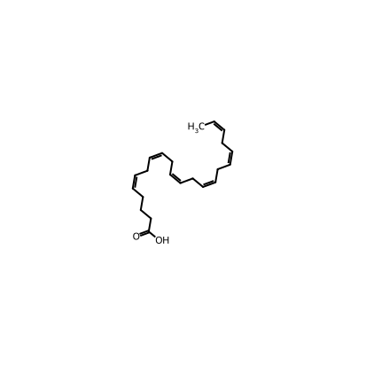 C/C=C\C/C=C\C/C=C\C/C=C\C/C=C\C/C=C\CCCC(=O)O